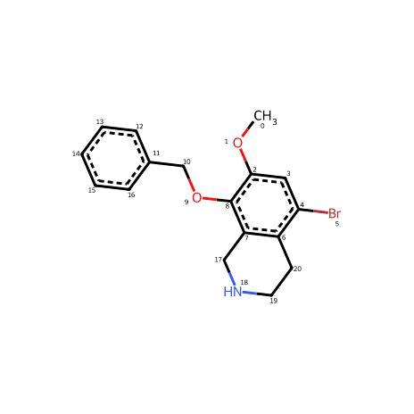 COc1cc(Br)c2c(c1OCc1ccccc1)CNCC2